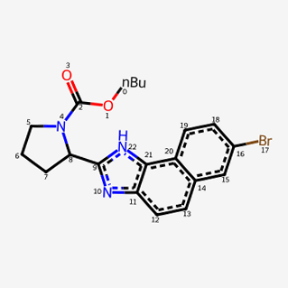 CCCCOC(=O)N1CCCC1c1nc2ccc3cc(Br)ccc3c2[nH]1